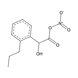 CCCc1ccccc1C(O)C(=O)O[N+](=O)[O-]